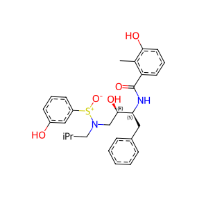 Cc1c(O)cccc1C(=O)N[C@@H](Cc1ccccc1)[C@H](O)CN(CC(C)C)[S+]([O-])c1cccc(O)c1